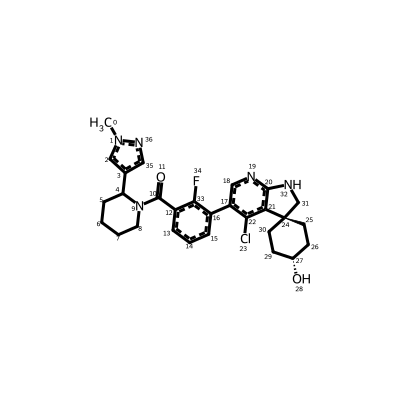 Cn1cc(C2CCCCN2C(=O)c2cccc(-c3cnc4c(c3Cl)[C@]3(CC[C@H](O)CC3)CN4)c2F)cn1